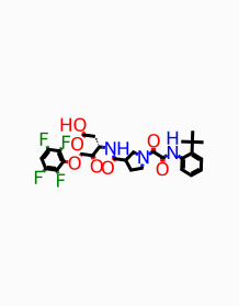 CC(C)(C)c1ccccc1NC(=O)C(=O)N1CCC(C(=O)N[C@@H](CC(=O)O)C(=O)COc2c(F)c(F)cc(F)c2F)C1